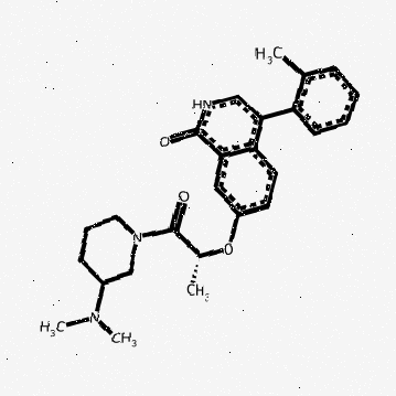 Cc1ccccc1-c1c[nH]c(=O)c2cc(O[C@H](C)C(=O)N3CCCC(N(C)C)C3)ccc12